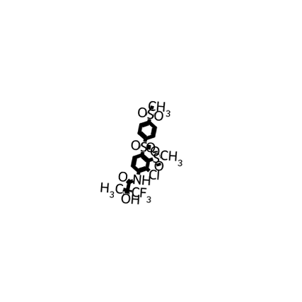 C[C@@](O)(C(=O)Nc1ccc(S(=O)(=O)c2ccc(S(C)(=O)=O)cc2)c(S(C)(=O)=O)c1Cl)C(F)(F)F